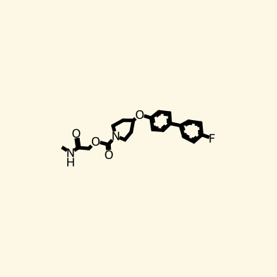 CNC(=O)COC(=O)N1CCC(Oc2ccc(-c3ccc(F)cc3)cc2)CC1